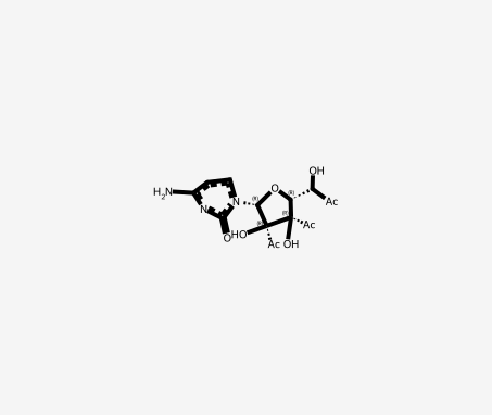 CC(=O)C(O)[C@H]1O[C@@H](n2ccc(N)nc2=O)[C@@](O)(C(C)=O)[C@@]1(O)C(C)=O